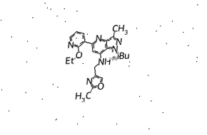 CCOc1ncccc1-c1cc(NCc2coc(C)n2)c2c(n1)c(C)nn2[C@H](C)CC